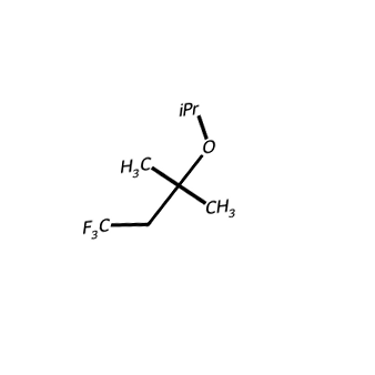 CC(C)OC(C)(C)CC(F)(F)F